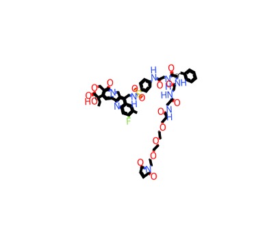 CC[C@@]1(O)C(=O)OCc2c1cc1n(c2=O)Cc2c-1nc1cc(F)c(C)cc1c2CNS(=O)(=O)c1ccc(NC(=O)CNC(=O)[C@H](Cc2ccccc2)NC(=O)CNC(=O)CNC(=O)CCOCCOCCOCCN2C(=O)C=CC2=O)cc1